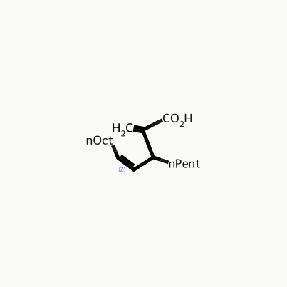 C=C(C(=O)O)C(/C=C\CCCCCCCC)CCCCC